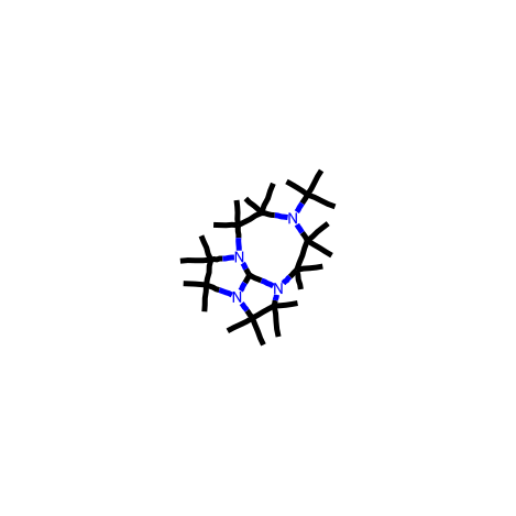 CC(C)(C)N1C(C)(C)C(C)(C)N2C3N(C(C)(C)C2(C)C)C(C)(C)C(C)(C)N3C(C)(C)C1(C)C